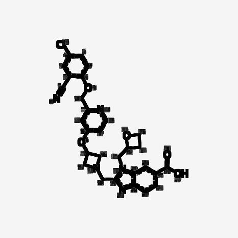 N#Cc1cc(Cl)ccc1OCc1cc(OC2CN(Cc3nc4ccc(C(=O)O)cc4n3CC3CCO3)C2)ccn1